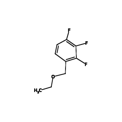 CCOCc1ccc(F)c(F)c1F